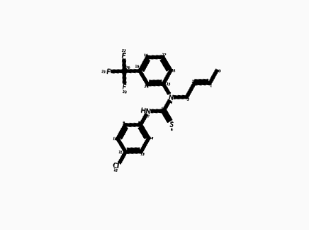 C/C=C/CN(C(=S)Nc1ccc(Cl)cc1)c1cccc(C(F)(F)F)c1